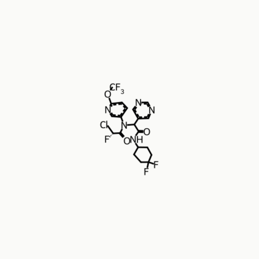 O=C(NC1CCC(F)(F)CC1)C(c1cncnc1)N(C(=O)[C@H](F)Cl)c1ccc(OC(F)(F)F)nc1